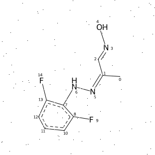 CC(/C=N/O)=N/Nc1c(F)cccc1F